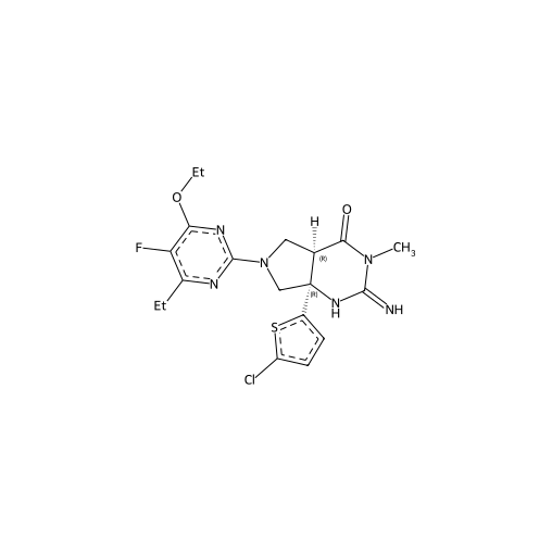 CCOc1nc(N2C[C@H]3C(=O)N(C)C(=N)N[C@@]3(c3ccc(Cl)s3)C2)nc(CC)c1F